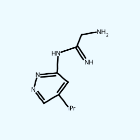 CC(C)c1cnnc(NC(=N)CN)c1